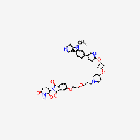 Cn1c2ccncc2c2ccc(-c3ccc(OC4CC(OC5CCN(CCCOCCOc6ccc7c(c6)C(=O)N(C6CCC(=O)NC6=O)C7=O)CC5)C4)nc3)cc21